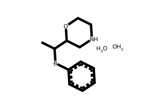 CC([B]c1ccccc1)C1CNCCO1.O.O